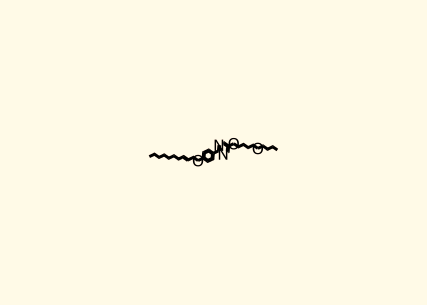 CCCCCCCC=CCOc1ccc(-c2ncc(OCCCCOCCCC)cn2)cc1